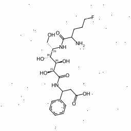 NC(CCCF)C(=O)N[C@@H](CO)[C@@H](O)[C@@H](O)[C@H](O)C(=O)NC(CC(=O)O)c1ccccc1